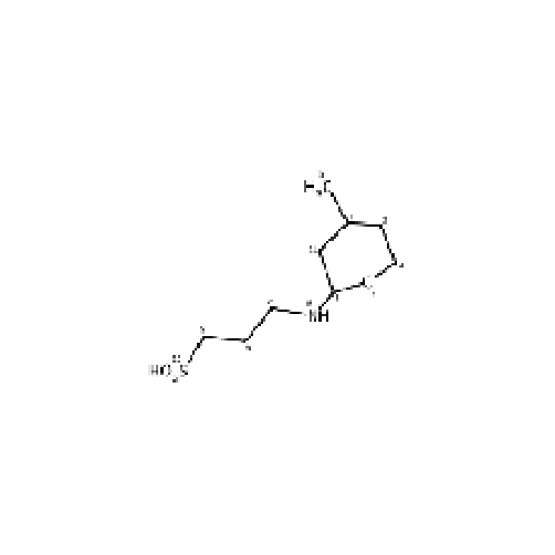 CC1CCCC(NCCCS(=O)(=O)O)C1